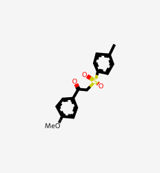 COc1ccc(C(=O)CS(=O)(=O)c2ccc(C)cc2)cc1